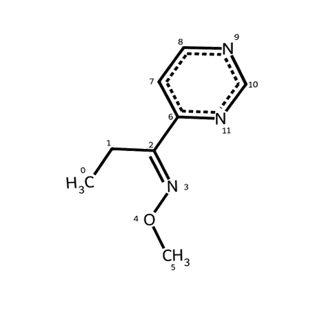 CCC(=NOC)c1ccncn1